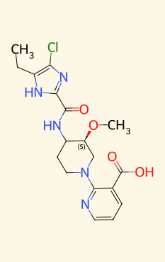 CCc1[nH]c(C(=O)NC2CCN(c3ncccc3C(=O)O)C[C@@H]2OC)nc1Cl